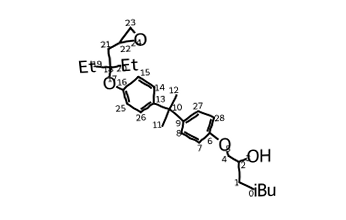 CCC(C)CC(O)COc1ccc(C(C)(C)c2ccc(OC(CC)(CC)CC3CO3)cc2)cc1